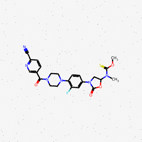 COC(=S)N(C)C1CN(c2ccc(N3CCN(C(=O)c4ccc(C#N)nc4)CC3)c(F)c2)C(=O)O1